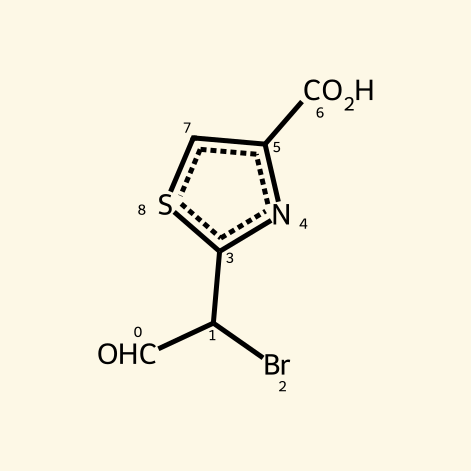 O=CC(Br)c1nc(C(=O)O)cs1